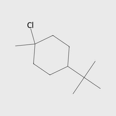 CC1(Cl)CCC(C(C)(C)C)CC1